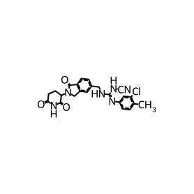 Cc1ccc(/N=C(\NC#N)NCc2ccc3c(c2)CN(C2CCC(=O)NC2=O)C3=O)cc1Cl